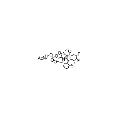 CC(=O)N1CC(OC(=O)Oc2c3n(ccc2=O)N([C@@H]2c4ccccc4SCc4c2ccc(F)c4F)[C@@H]2COCCN2C3=O)C1